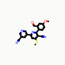 COc1ccc(-c2nc(-c3cncc(C#N)c3)cc(SC)c2C#N)c(C=O)c1